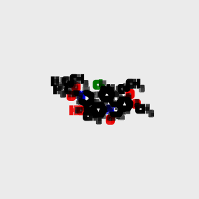 COc1cc2c(cc1OC(C)C)[C@H](c1ccc(Cl)cc1)N(c1ccc(C(C)(O)C3CCCN(C(=O)OC(C)(C)C)C3)cc1)C(=O)C2